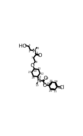 CN(CCO)C(=O)CCOC1CCC(N(C)C(=O)Oc2ccc(Cl)cc2)CC1